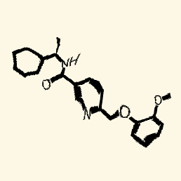 COc1ccccc1OCc1ccc(C(=O)N[C@H](C)C2CCCCC2)cn1